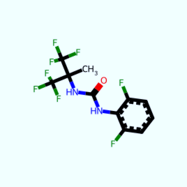 CC(NC(=O)Nc1c(F)cccc1F)(C(F)(F)F)C(F)(F)F